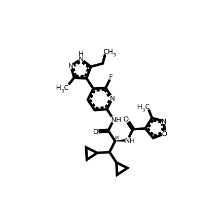 CCc1[nH]nc(C)c1-c1ccc(NC(=O)[C@@H](NC(=O)c2conc2C)C(C2CC2)C2CC2)nc1F